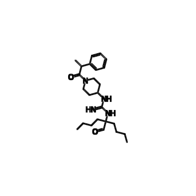 CCCCC(C=O)(CCCC)NC(=N)NC1CCN(C(=O)C(C)c2ccccc2)CC1